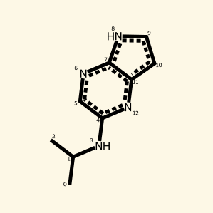 CC(C)Nc1cnc2[nH]ccc2n1